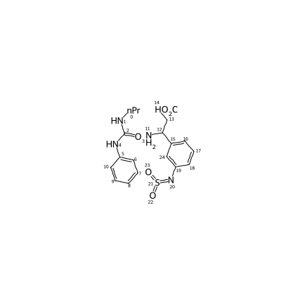 CCCNC(=O)Nc1ccccc1.NC(CC(=O)O)c1cccc(N=S(=O)=O)c1